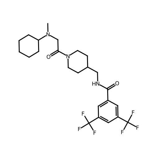 CN(CC(=O)N1CCC(CNC(=O)c2cc(C(F)(F)F)cc(C(F)(F)F)c2)CC1)C1CCCCC1